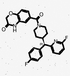 O=C1COc2ccc(C(=O)N3CCC([C@H](c4ccc(F)cc4)c4cccc(F)n4)CC3)cc2N1